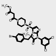 COC(=O)CC(=O)N1CCN(S(=O)(=O)c2cnc3n2[C@](C)(Cc2ccc(Br)cc2)C(=O)N3c2cc(Cl)cc(Cl)c2)CC1